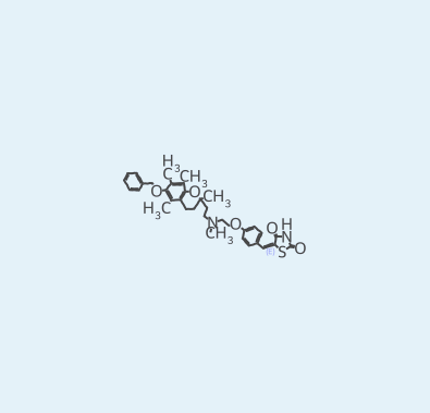 Cc1c(C)c2c(c(C)c1OCc1ccccc1)CCC(C)(CCN(C)CCOc1ccc(/C=C3/SC(=O)NC3=O)cc1)O2